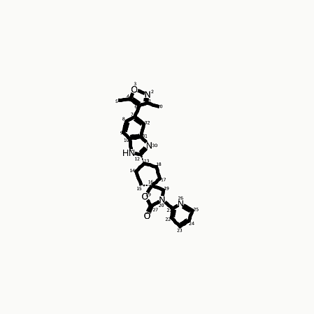 Cc1noc(C)c1-c1ccc2[nH]c([C@H]3CC[C@]4(CC3)CN(c3ccccn3)C(=O)O4)nc2c1